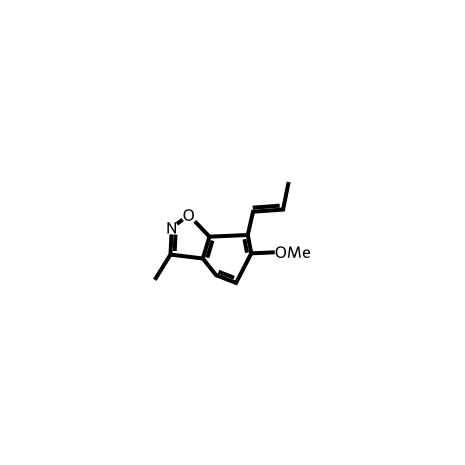 C/C=C/c1c(OC)ccc2c(C)noc12